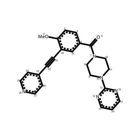 COc1ccc(C(=O)N2CCN(c3ncccn3)CC2)cc1C#Cc1ccncc1